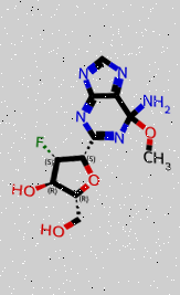 COC1(N)N=C([C@@H]2O[C@H](CO)[C@@H](O)[C@@H]2F)N=C2N=CN=C21